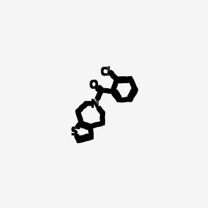 O=C(c1ccccc1Cl)N1CCc2ccsc2CC1